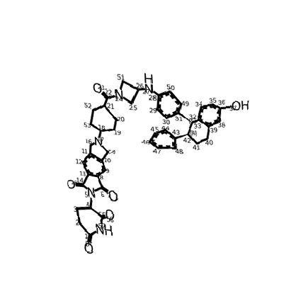 O=C1CCC(N2C(=O)c3cc4c(cc3C2=O)CN(C2CCC(C(=O)N3CC(Nc5ccc([C@H]6c7ccc(O)cc7CC[C@H]6c6ccccc6)cc5)C3)CC2)C4)C(=O)N1